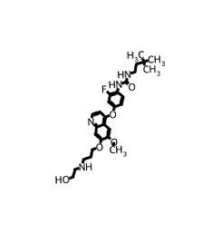 COc1cc2c(Oc3ccc(NC(=O)NCCC(C)(C)C)c(F)c3)ccnc2cc1OCCCNCCO